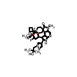 COc1c(F)cc(-c2c(-c3cnn(CC(C)(C)O)c3)[nH]c3ncc4c(c23)C2(CCN(C3(CC#N)CCC3)CC2)C(=O)N4C)cc1F